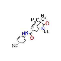 CCN1C(=O)C(C)(C)c2ccc(C(=O)Nc3ccc(C#N)cc3)cc21